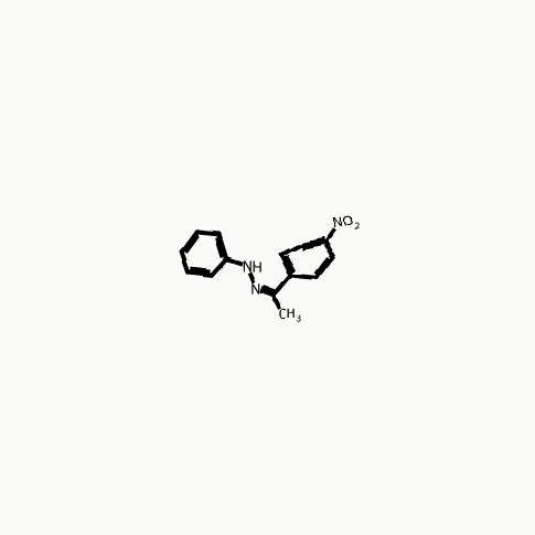 C/C(=N/Nc1ccccc1)c1ccc([N+](=O)[O-])cc1